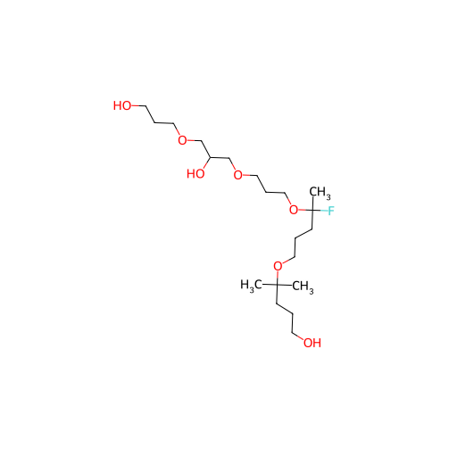 CC(C)(CCCO)OCCCC(C)(F)OCCCOCC(O)COCCCO